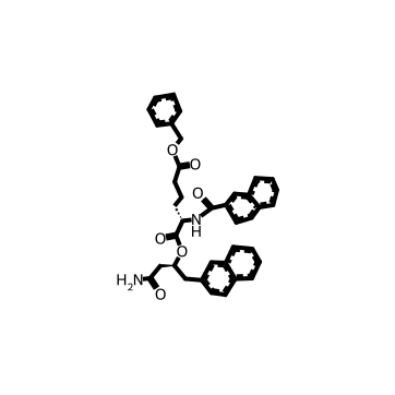 NC(=O)C[C@H](Cc1ccc2ccccc2c1)OC(=O)[C@H](CCCC(=O)OCc1ccccc1)NC(=O)c1ccc2ccccc2c1